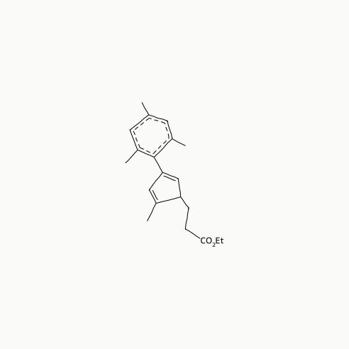 CCOC(=O)CCC1C=C(c2c(C)cc(C)cc2C)C=C1C